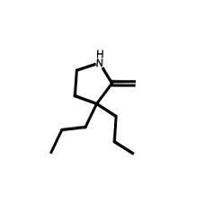 C=C1NCCC1(CCC)CCC